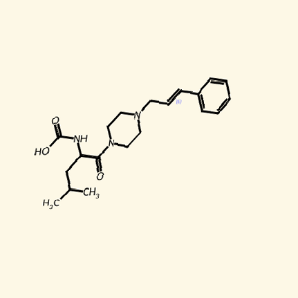 CC(C)CC(NC(=O)O)C(=O)N1CCN(C/C=C/c2ccccc2)CC1